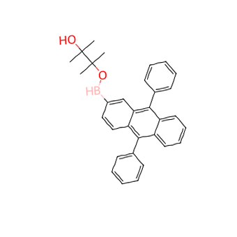 CC(C)(O)C(C)(C)OBc1ccc2c(-c3ccccc3)c3ccccc3c(-c3ccccc3)c2c1